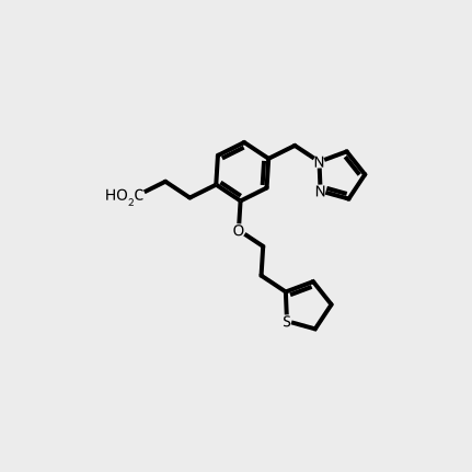 O=C(O)CCc1ccc(Cn2cccn2)cc1OCCC1=CCCS1